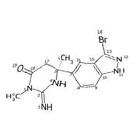 CN1C(=N)N[C@](C)(c2ccc3[nH]nc(Br)c3c2)CC1=O